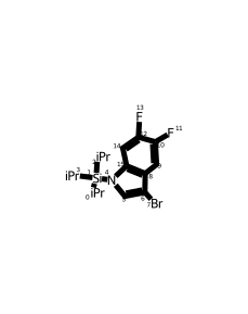 CC(C)[Si](C(C)C)(C(C)C)n1cc(Br)c2cc(F)c(F)cc21